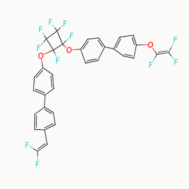 FC(F)=Cc1ccc(-c2ccc(OC3(F)C(F)(F)C(F)(F)C3(F)Oc3ccc(-c4ccc(OC(F)=C(F)F)cc4)cc3)cc2)cc1